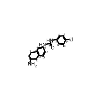 NC1CCc2cc(NC(=O)Nc3ccc(Cl)cc3)ccc2C1